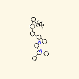 CC1(C)c2ccccc2-c2ccc(-c3cccc(-c4ccc5c6ccccc6n(-c6cccc(-c7cc(-c8ccccc8)cc(-c8ccccc8)n7)c6)c5c4)c3)cc21